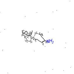 NC1CCC(C2CCC(CC(=O)O)CC2)CC1